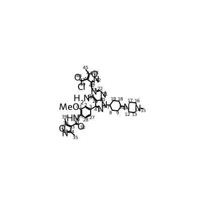 COc1cc(-c2nn(C3CCC(N4CCN(C)CC4)CC3)c3ncnc(N)c23)ccc1NC(=O)c1c(C)noc1C.Cc1noc(C)c1C(=O)Cl